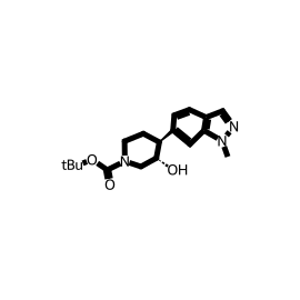 Cn1ncc2ccc([C@@H]3CCN(C(=O)OC(C)(C)C)C[C@H]3O)cc21